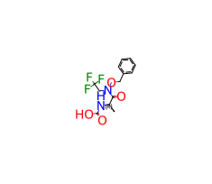 C[C@@H](NC(=O)O)C(=O)N(CC(F)(F)F)OCc1ccccc1